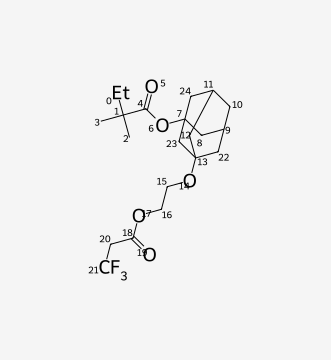 CCC(C)(C)C(=O)OC12CC3CC(CC(OCCOC(=O)CC(F)(F)F)(C3)C1)C2